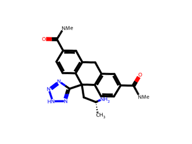 CNC(=O)c1ccc2c(c1)Cc1cc(C(=O)NC)ccc1C2(C[C@@H](C)N)c1nn[nH]n1